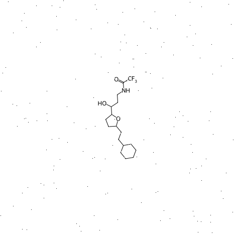 O=C(NCCC(O)C1CCC(CCC2CCCCC2)O1)C(F)(F)F